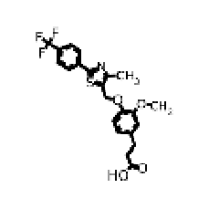 COc1cc(CCC(=O)O)ccc1OCc1sc(-c2ccc(C(F)(F)F)cc2)nc1C